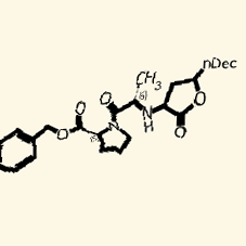 CCCCCCCCCCC1CC(N[C@@H](C)C(=O)N2CCC[C@H]2C(=O)OCc2ccccc2)C(=O)O1